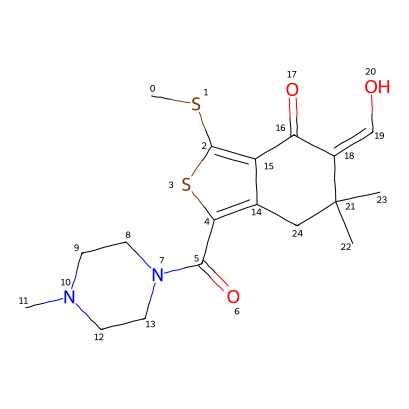 CSc1sc(C(=O)N2CCN(C)CC2)c2c1C(=O)C(=CO)C(C)(C)C2